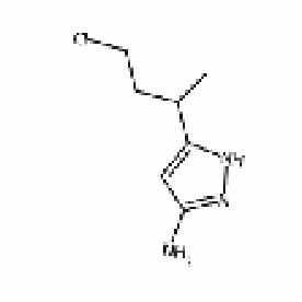 CC(CCCl)c1cc(N)n[nH]1